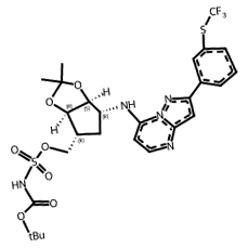 CC(C)(C)OC(=O)NS(=O)(=O)OC[C@H]1C[C@@H](Nc2ccnc3cc(-c4cccc(SC(F)(F)F)c4)nn23)[C@@H]2OC(C)(C)O[C@H]12